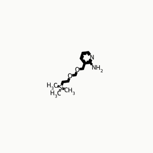 C[Si](C)(C)CCOCOCc1cccnc1N